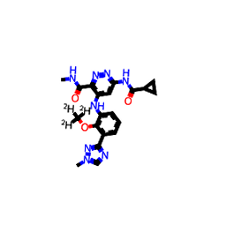 [2H]C([2H])([2H])Oc1c(Nc2cc(NC(=O)C3CC3)nnc2C(=O)NC)cccc1-c1ncn(C)n1